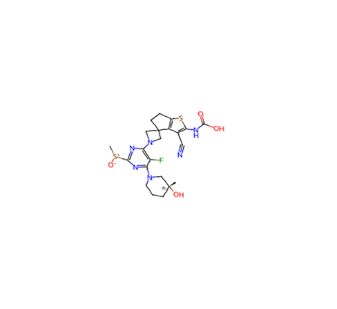 C[S+]([O-])c1nc(N2CC3(CCc4sc(NC(=O)O)c(C#N)c43)C2)c(F)c(N2CCC[C@@](C)(O)C2)n1